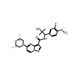 C[C@@H]1CN(c2ccn3ncc(C(=O)NC(c4ccc(OC(F)(F)F)c(F)c4)C(C)(C)O)c3n2)C[C@H](C)O1